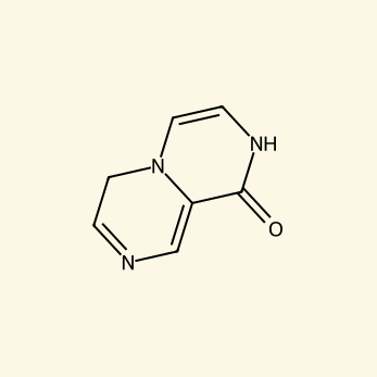 O=C1NC=CN2CC=NC=C12